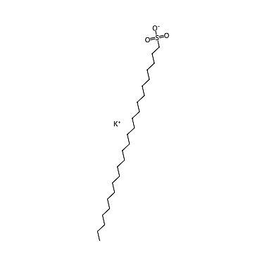 CCCCCCCCCCCCCCCCCCCCCCCCCS(=O)(=O)[O-].[K+]